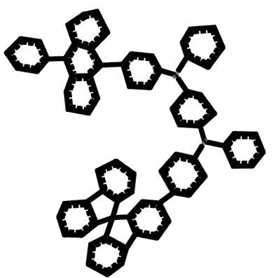 c1ccc(-c2c3ccccc3c(-c3ccc(N(c4ccccc4)c4ccc(N(c5ccccc5)c5ccc(-c6ccc7c(c6)C6(c8ccccc8-c8ccccc86)c6ccccc6-7)cc5)cc4)cc3)c3ccccc23)cc1